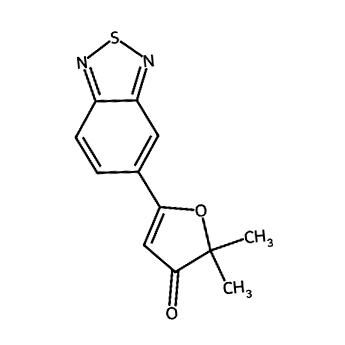 CC1(C)OC(c2ccc3nsnc3c2)=CC1=O